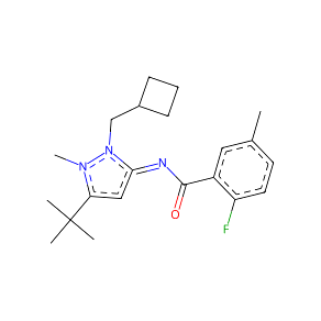 Cc1ccc(F)c(C(=O)N=c2cc(C(C)(C)C)n(C)n2CC2CCC2)c1